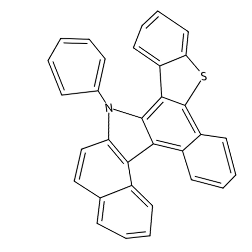 c1ccc(-n2c3ccc4ccccc4c3c3c4ccccc4c4sc5ccccc5c4c32)cc1